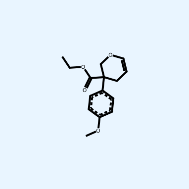 CCOC(=O)C1(c2ccc(OC)cc2)CC=COC1